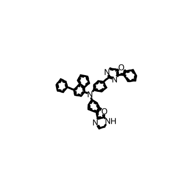 C1=Nc2c(oc3cc(N(c4ccc(-c5ncc6oc7ccccc7c6n5)cc4)c4ccc(-c5ccccc5)c5ccccc45)ccc23)NC1